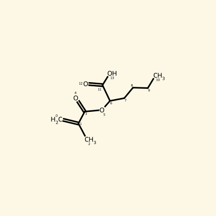 C=C(C)C(=O)OC(CCCC)C(=O)O